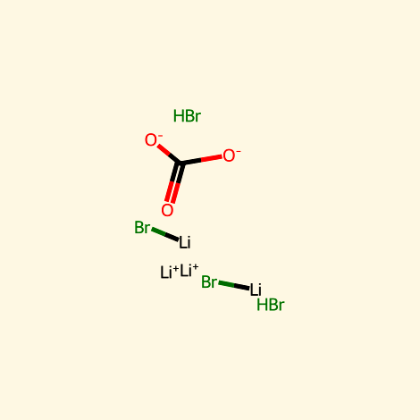 Br.Br.O=C([O-])[O-].[Li+].[Li+].[Li][Br].[Li][Br]